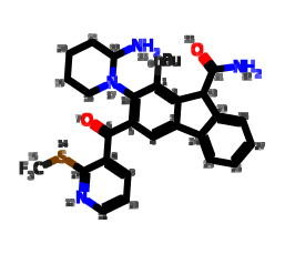 CCCCc1c2c(cc(C(=O)c3cccnc3SC(F)(F)F)c1N1CCCCC1N)-c1ccccc1C2C(N)=O